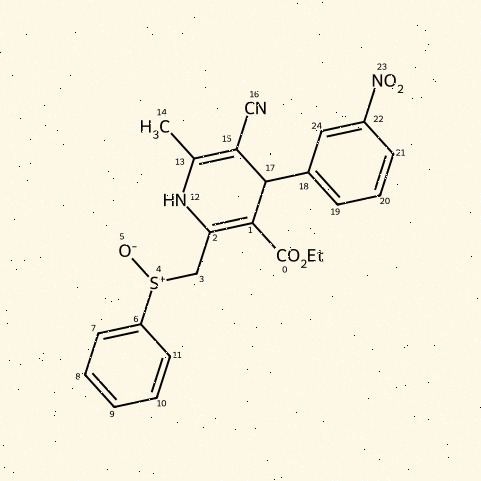 CCOC(=O)C1=C(C[S+]([O-])c2ccccc2)NC(C)=C(C#N)C1c1cccc([N+](=O)[O-])c1